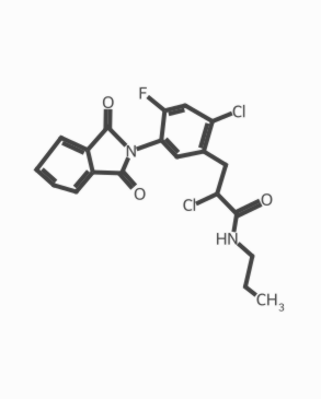 CCCNC(=O)C(Cl)Cc1cc(N2C(=O)c3ccccc3C2=O)c(F)cc1Cl